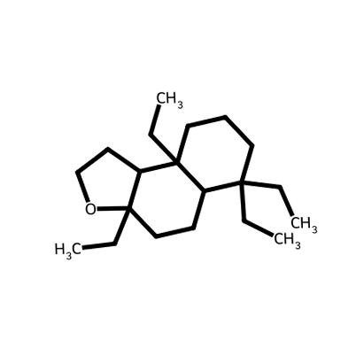 CCC1(CC)CCCC2(CC)C1CCC1(CC)OCCC12